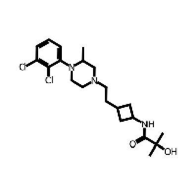 CC1CN(CCC2CC(NC(=O)C(C)(C)O)C2)CCN1c1cccc(Cl)c1Cl